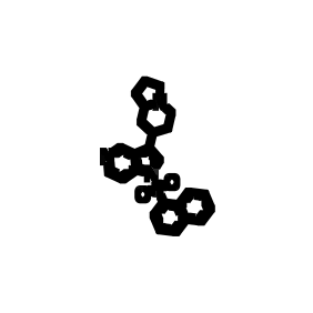 O=S(=O)(c1cccc2ccccc12)n1cc(C2CCN3CCCC3C2)c2cnccc21